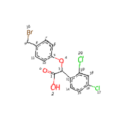 O=C(O)C(Oc1ccc(CBr)cc1)c1ccc(Cl)cc1Cl